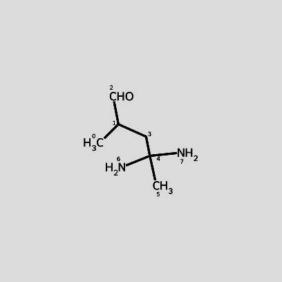 CC(C=O)CC(C)(N)N